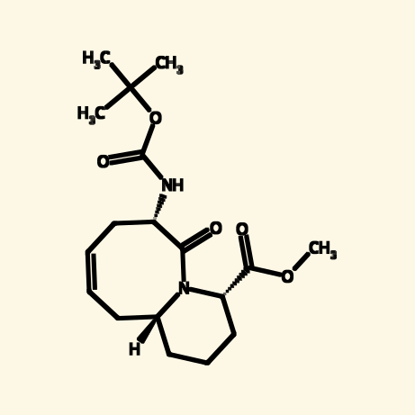 COC(=O)[C@@H]1CCC[C@@H]2C/C=C\C[C@H](NC(=O)OC(C)(C)C)C(=O)N21